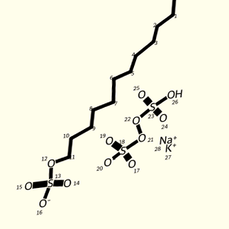 CCCCCCCCCCCCOS(=O)(=O)[O-].O=S(=O)([O-])OOS(=O)(=O)O.[K+].[Na+]